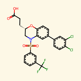 O=C(O)CC[C@H]1CN(S(=O)(=O)c2cccc(C(F)(F)F)c2)c2cc(-c3ccc(Cl)c(Cl)c3)ccc2O1